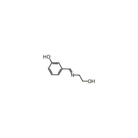 OCCN=Cc1cccc(O)c1